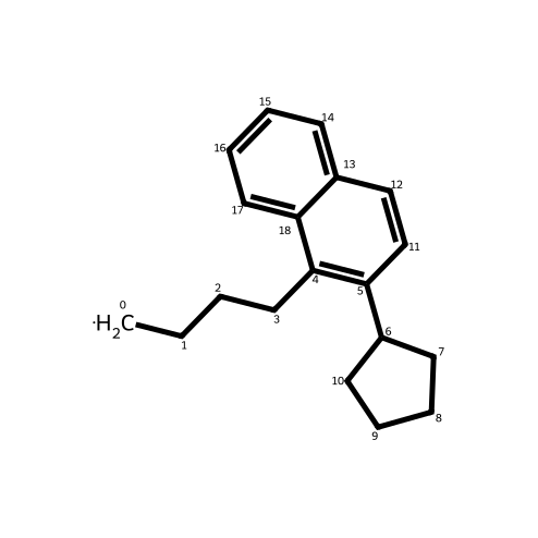 [CH2]CCCc1c(C2CCCC2)ccc2ccccc12